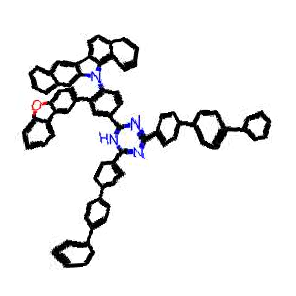 c1ccc(-c2ccc(-c3ccc(C4=NC(c5ccc(-n6c7cc8ccccc8cc7c7ccc8ccccc8c76)c(-c6ccc7oc8ccccc8c7c6)c5)NC(c5ccc(-c6ccc(-c7ccccc7)cc6)cc5)=N4)cc3)cc2)cc1